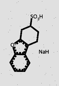 O=S(=O)(O)C1CCc2c(oc3ccccc23)C1.[NaH]